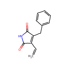 C=CC1=C(Cc2ccccc2)C(=O)NC1=O